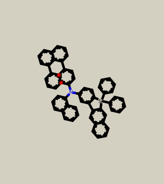 c1ccc(-c2cccc3cccc(-c4ccc(N(c5ccc6c(c5)-c5cc7ccccc7cc5[Si]6(c5ccccc5)c5ccccc5)c5cccc6ccccc56)cc4)c23)cc1